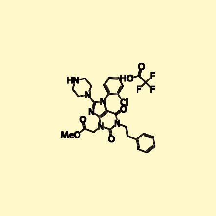 COC(=O)Cn1c(=O)n(CCc2ccccc2)c(=O)c2c1nc(N1CCNCC1)n2-c1ccccc1Cl.O=C(O)C(F)(F)F